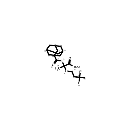 COC(=O)C(OCCC(C)(F)F)(OC(=O)C12CC3CC(CC(C3)C1)C2)C(F)(F)F